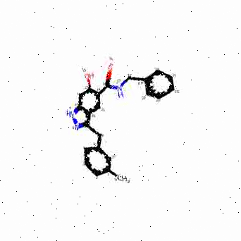 Cc1cccc(Cc2n[nH]c3cc(O)c(C(=O)NCc4ccccc4)cc23)c1